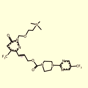 C[Si](C)(C)CCOCn1nc(/C=C/COC(=O)N2CCN(c3ncc(C(F)(F)F)cn3)CC2)c(C(F)(F)F)cc1=O